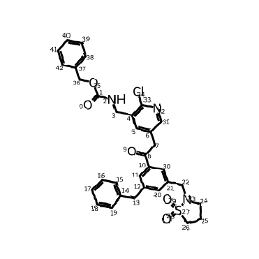 O=C(NCc1cc(CC(=O)c2cc(Cc3ccccc3)cc(CN3CCCS3(=O)=O)c2)cnc1Cl)OCc1ccccc1